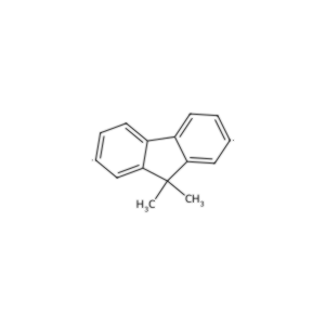 CC1(C)c2c[c]ccc2-c2cc[c]cc21